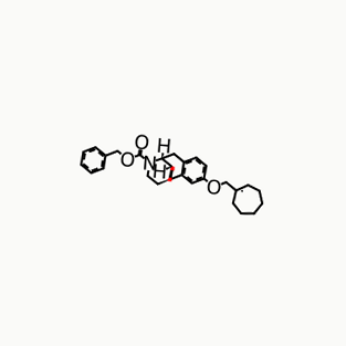 O=C(OCc1ccccc1)N1CC[C@]23CCCC[C@H]2[C@H]1Cc1ccc(OC[C]2CCCCCC2)cc13